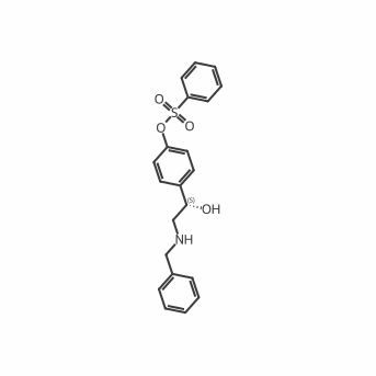 O=S(=O)(Oc1ccc([C@H](O)CNCc2ccccc2)cc1)c1ccccc1